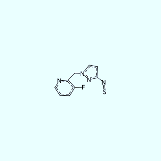 Fc1cccnc1Cn1ccc(N=S)n1